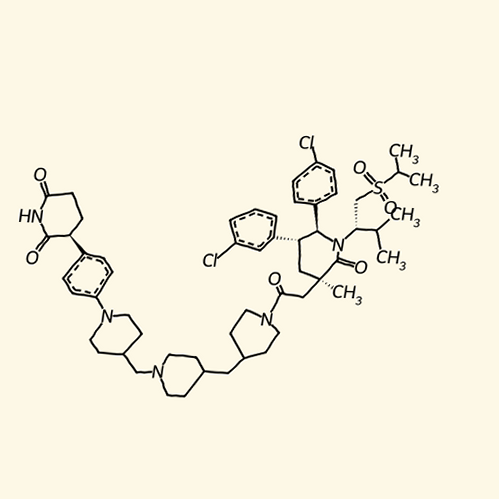 CC(C)[C@@H](CS(=O)(=O)C(C)C)N1C(=O)[C@@](C)(CC(=O)N2CCC(CC3CCN(CC4CCN(c5ccc([C@@H]6CCC(=O)NC6=O)cc5)CC4)CC3)CC2)C[C@H](c2cccc(Cl)c2)[C@H]1c1ccc(Cl)cc1